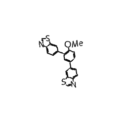 [CH2]Oc1ccc(-c2ccc3ncsc3c2)cc1-c1ccc2ncsc2c1